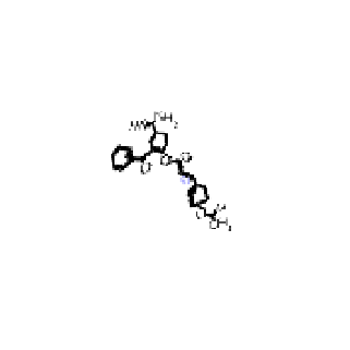 CC(=O)Oc1ccc(/C=C/C(=O)Oc2ccc(C(=N)N)cc2C(=O)c2ccccc2)cc1